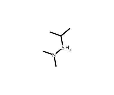 CC(C)[SiH2]N(C)C